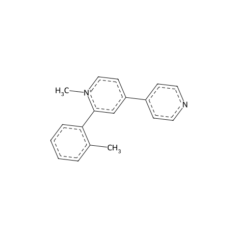 Cc1ccccc1-c1cc(-c2ccncc2)cc[n+]1C